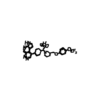 O=[SH](=O)C(C1CCC(c2cnnc3cnc4[nH]ccc4c23)CC1)N1CCCC(COc2ccc(OC(F)(F)F)cc2)C1